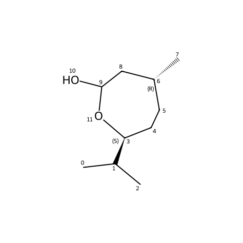 CC(C)[C@@H]1CC[C@@H](C)CC(O)O1